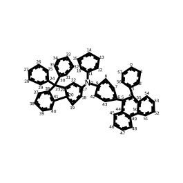 c1ccc(-c2c(-c3ccc(N(c4ccccc4)c4ccc5c(c4)C(c4ccccc4)(c4ccccc4)c4ccccc4-5)cc3)c3ccccc3c3ccccc23)cc1